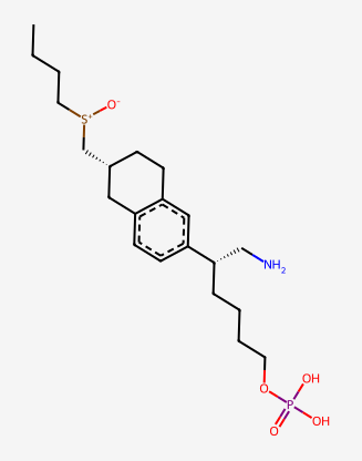 CCCC[S+]([O-])C[C@@H]1CCc2cc([C@H](CN)CCCCOP(=O)(O)O)ccc2C1